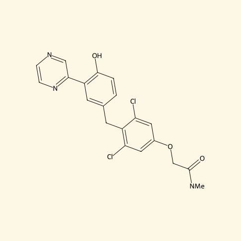 CNC(=O)COc1cc(Cl)c(Cc2ccc(O)c(-c3cnccn3)c2)c(Cl)c1